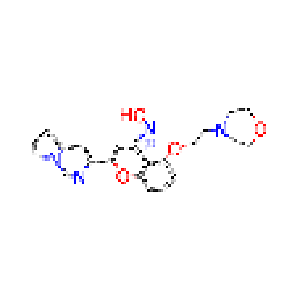 O/N=c1\cc(-c2cc3cccn3cn2)oc2cccc(OCCN3CCOCC3)c12